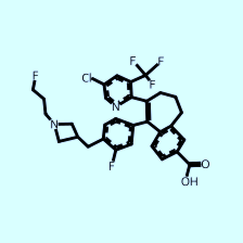 O=C(O)c1ccc2c(c1)CCCC(c1ncc(Cl)cc1C(F)(F)F)=C2c1ccc(CC2CN(CCCF)C2)c(F)c1